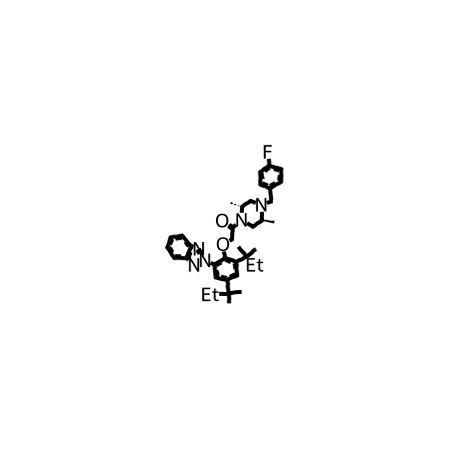 CCC(C)(C)c1cc(-n2nc3ccccc3n2)c(OCC(=O)N2C[C@H](C)N(Cc3ccc(F)cc3)C[C@H]2C)c(C(C)(C)CC)c1